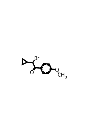 COc1ccc(C(=O)C(Br)C2CC2)cc1